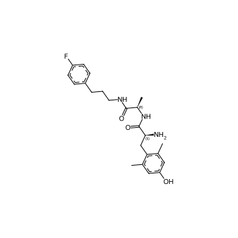 Cc1cc(O)cc(C)c1C[C@H](N)C(=O)N[C@H](C)C(=O)NCCCc1ccc(F)cc1